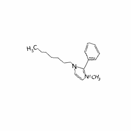 CCCCCCCn1cc[n+](C)c1-c1ccccc1